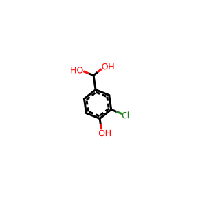 Oc1ccc(C(O)O)cc1Cl